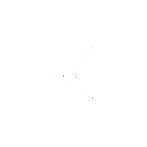 CC[C@H](C)OC(=O)C(CC(C)N=C(NC(=O)OCOC(=O)Cc1ccccc1)NC(=O)OCOC(=O)Cc1ccccc1)NC(C)=O